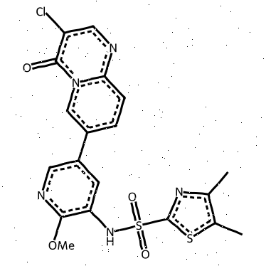 COc1ncc(-c2ccc3ncc(Cl)c(=O)n3c2)cc1NS(=O)(=O)c1nc(C)c(C)s1